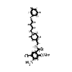 COc1cc(N)c(Cl)cc1C(=O)NCC1CCN(CCCCSc2ccccc2)CC1